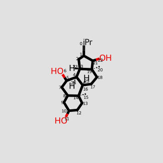 CC(C)C1C[C@H]2[C@@H]3C(O)CC4CC(O)CC[C@]4(C)[C@@H]3CC[C@]2(C)C1O